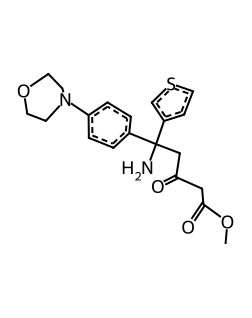 COC(=O)CC(=O)CC(N)(c1ccc(N2CCOCC2)cc1)c1ccsc1